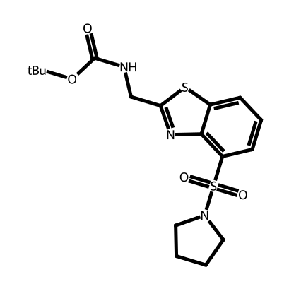 CC(C)(C)OC(=O)NCc1nc2c(S(=O)(=O)N3CCCC3)cccc2s1